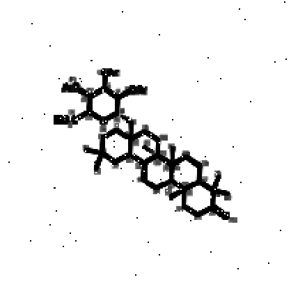 CC(=O)OC1C(OC(C)=O)[C@H](C[C@]23CCC(C)(C)CC2C2=CCC4[C@@]5(C)CCC(=O)C(C)(C)C5CC[C@@]4(C)[C@]2(C)CC3)OC(C(=O)O)[C@H]1OC(C)=O